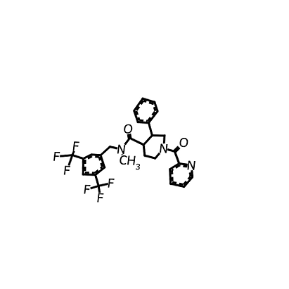 CN(Cc1cc(C(F)(F)F)cc(C(F)(F)F)c1)C(=O)C1CCN(C(=O)c2ccccn2)CC1c1ccccc1